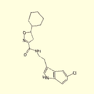 O=C(NCCc1c[nH]c2ccc(Cl)cc12)C1=NOC(C2CCCCC2)C1